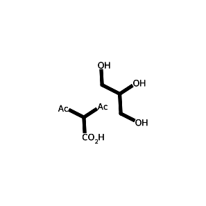 CC(=O)C(C(C)=O)C(=O)O.OCC(O)CO